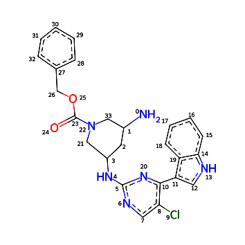 NC1CC(Nc2ncc(Cl)c(-c3c[nH]c4ccccc34)n2)CN(C(=O)OCc2ccccc2)C1